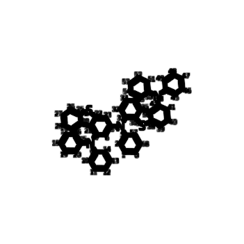 c1ccc(N(c2cc(N(c3ccccc3)c3ccccc3)c3c(c2)sc2ccccc23)c2cccc3c2sc2cccc(N(c4ccccc4)c4ccccc4)c23)cc1